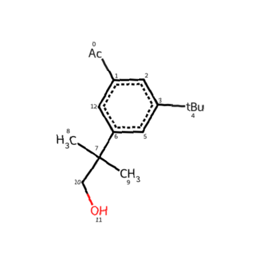 CC(=O)c1cc(C(C)(C)C)cc(C(C)(C)CO)c1